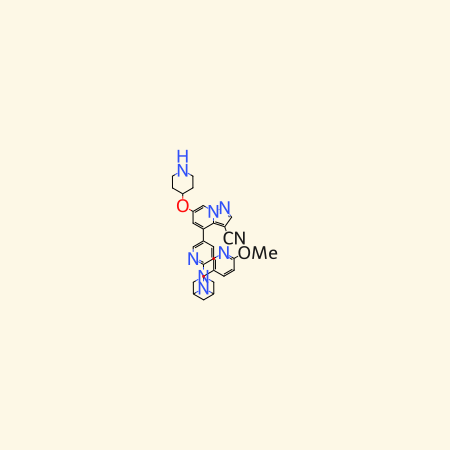 COc1ccc(CN2C3CC2CN(c2ccc(-c4cc(OC5CCNCC5)cn5ncc(C#N)c45)cn2)C3)cn1